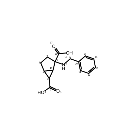 O=C(O)C1C2CCC(NCc3ccccc3)(C(=O)O)C21